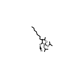 CCCCCCCCC(SC#N)[Si](OC(C)C)(OC(C)C)OC(C)C